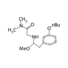 CCCCOc1cccc(CC(NCC(=O)N(C)C)OC)c1